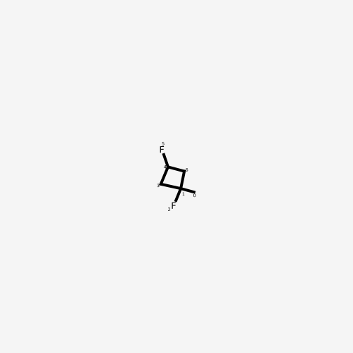 CC1(F)CC(F)C1